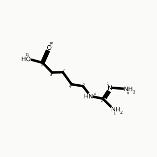 NN=C(N)NCCCCC(=O)O